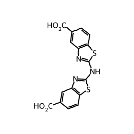 O=C(O)c1ccc2sc(Nc3nc4cc(C(=O)O)ccc4s3)nc2c1